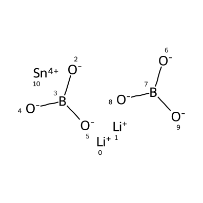 [Li+].[Li+].[O-]B([O-])[O-].[O-]B([O-])[O-].[Sn+4]